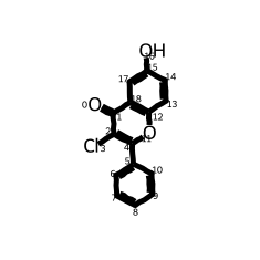 O=c1c(Cl)c(-c2ccccc2)oc2ccc(O)cc12